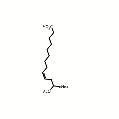 CCCCCCC(C/C=C\CCCCCCCC(=O)O)OC(C)=O